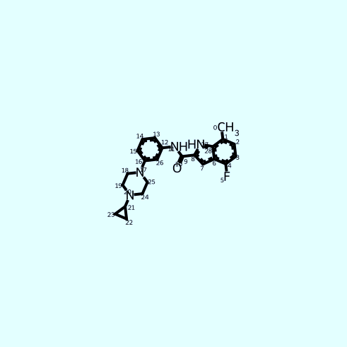 Cc1ccc(F)c2cc(C(=O)Nc3cccc(N4CCN(C5CC5)CC4)c3)[nH]c12